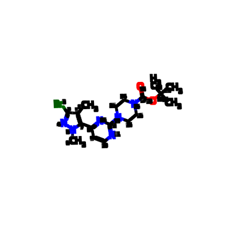 Cc1c(Br)nn(C)c1-c1ccnc(N2CCN(C(=O)OC(C)(C)C)CC2)n1